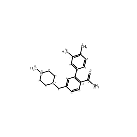 Cc1ccc(-c2cc(CN3CCN(C)CC3)ccc2C(N)=O)cc1N